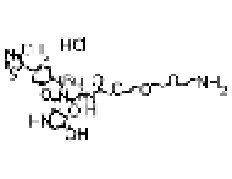 Cc1ncsc1-c1ccc(CN(C(=O)[C@@H]2C[C@@H](O)CN2)C(=O)[C@@H](NC(=O)COCCOCCOCCN)C(C)(C)C)cc1.Cl